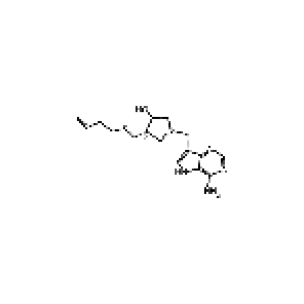 C=CCCSC[C@H]1CN(Cc2c[nH]c3c(N)ncnc23)CC1O